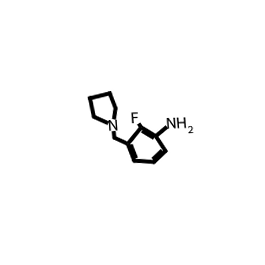 Nc1cccc(CN2CCCC2)c1F